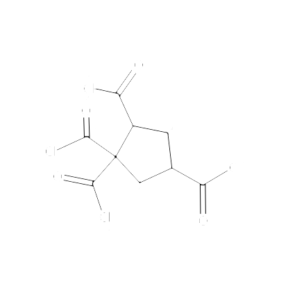 O=C(Cl)C1CC(C(=O)Cl)C(C(=O)Cl)(C(=O)Cl)C1